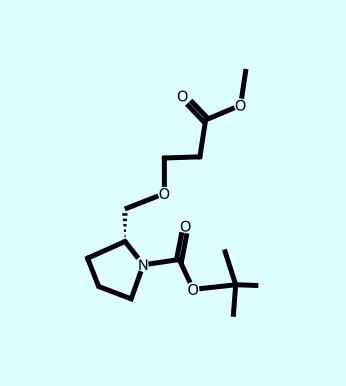 COC(=O)CCOC[C@H]1CCCN1C(=O)OC(C)(C)C